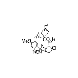 COc1cc2ncnc(Nc3cccc(Cl)c3F)c2cc1CN(C)CC1(C(=O)O)CCNCC1